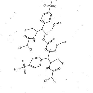 CCOC[C@H](OC(=O)O[C@@H](COCC)C(c1ccc(S(C)(=O)=O)cc1)C(CF)NC(=O)C(Cl)Cl)C(c1ccc(S(C)(=O)=O)cc1)C(CF)NC(=O)C(Cl)Cl